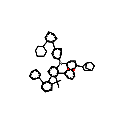 CC1(C)c2cccc(-c3ccccc3)c2-c2ccc(N(c3ccc(-c4ccccc4C4CCCCC4)cc3)c3ccc(C4CC5CCC4C5)cc3)c(-c3ccccc3)c21